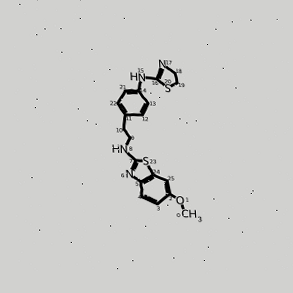 COc1ccc2nc(NCCc3ccc(NC4=NCCS4)cc3)sc2c1